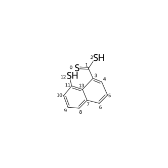 S=C(S)c1cccc2cccc(S)c12